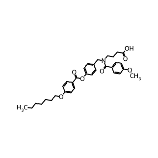 CCCCCCCOc1ccc(C(=O)Oc2ccc(CN(CCCC(=O)O)C(=O)c3ccc(OC)cc3)cc2)cc1